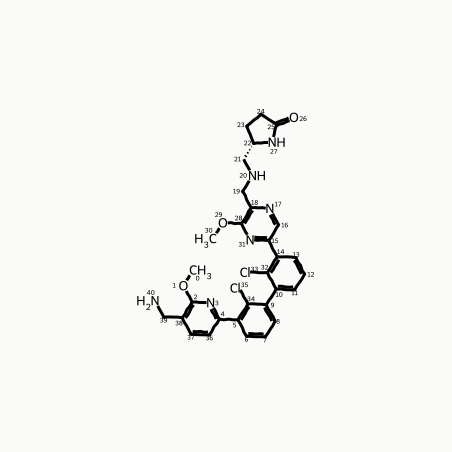 COc1nc(-c2cccc(-c3cccc(-c4cnc(CNC[C@@H]5CCC(=O)N5)c(OC)n4)c3Cl)c2Cl)ccc1CN